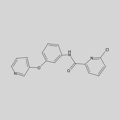 O=C(Nc1cccc(Oc2cccnc2)c1)c1cccc(Cl)n1